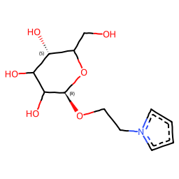 OCC1O[C@@H](OCCn2cccc2)C(O)C(O)[C@@H]1O